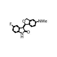 CNc1ccc2c(c1)COC2=C1C(=O)Nc2ccc(F)cc21